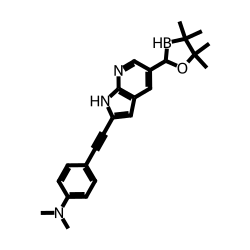 CN(C)c1ccc(C#Cc2cc3cc(C4BC(C)(C)C(C)(C)O4)cnc3[nH]2)cc1